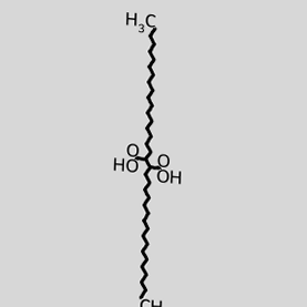 CCCCCCCCCCCCCCCCCCC(C(=O)O)C(CCCCCCCCCCCCCCCCCC)C(=O)O